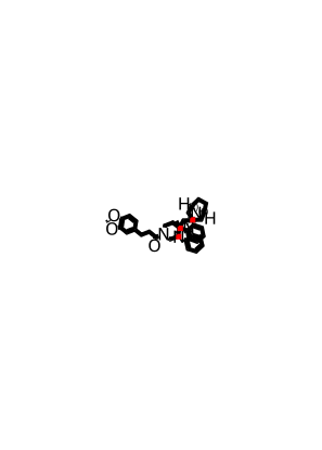 Cc1nc2ccccc2n1[C@H]1C[C@H]2CC[C@@H](C1)N2CCC1(c2ccccc2)CCN(C(=O)CCc2ccc3c(c2)OCO3)CC1